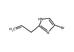 C=CCc1nc(Br)c[nH]1